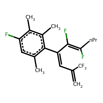 C=C(/C=C(\C(F)=C(/F)CCC)c1c(C)cc(F)c(C)c1C)C(F)(F)F